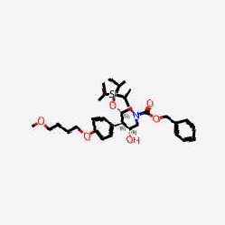 COCCCCOc1ccc([C@@H]2[C@@H](O)CN(C(=O)OCc3ccccc3)C[C@H]2O[Si](C(C)C)(C(C)C)C(C)C)cc1